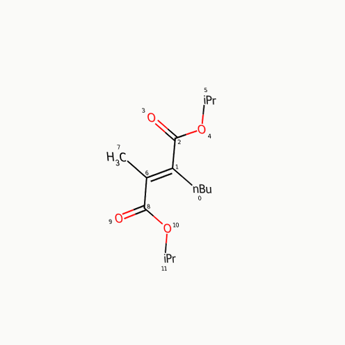 CCCCC(C(=O)OC(C)C)=C(C)C(=O)OC(C)C